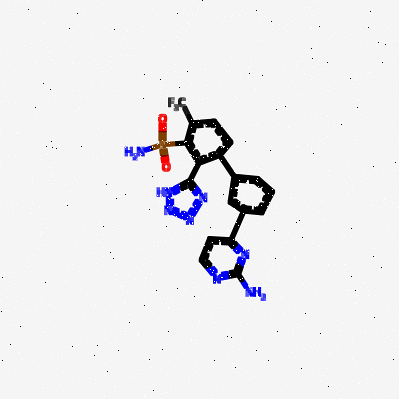 Nc1nccc(-c2cccc(-c3ccc(C(F)(F)F)c(S(N)(=O)=O)c3-c3nnn[nH]3)c2)n1